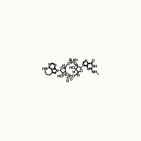 Nc1nc2c(ncn2[C@@H]2O[C@@H]3COP(=O)(S)O[C@H]4[C@@H](O)[C@H](n5cc6c7c(ncnc75)NCCC6)O[C@@H]4COP(=O)(S)O[C@@H]2[C@@H]3O)c(=O)[nH]1